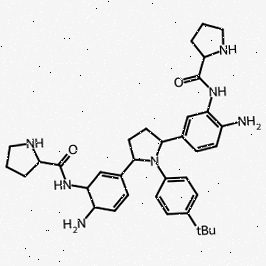 CC(C)(C)c1ccc(N2C(C3=CC(NC(=O)C4CCCN4)C(N)C=C3)CCC2c2ccc(N)c(NC(=O)C3CCCN3)c2)cc1